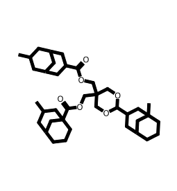 CC1CC2CC(C1)CC(C(=O)OCC1(COC(=O)C34CCCC(CC(C)C3)C4)COC(C3CC4CCCC(C)(C4)C3)OC1)C2